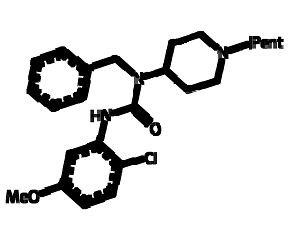 CCCC(C)N1CCC(N(Cc2ccccc2)C(=O)Nc2cc(OC)ccc2Cl)CC1